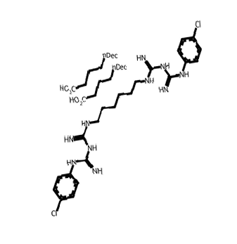 CCCCCCCCCCCCCC(=O)O.CCCCCCCCCCCCCC(=O)O.N=C(NCCCCCCNC(=N)NC(=N)Nc1ccc(Cl)cc1)NC(=N)Nc1ccc(Cl)cc1